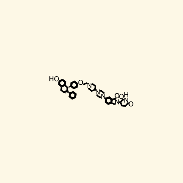 O=C1CCC(N2Cc3ccc(N4CCN(C5CCN(CCOc6ccc([C@@H]7c8ccc(O)cc8CC[C@@H]7c7ccccc7)cc6)CC5)CC4)cc3C2=O)C(=O)N1